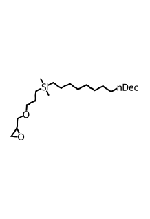 CCCCCCCCCCCCCCCCCC[Si](C)(C)CCCOCC1CO1